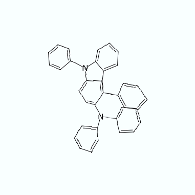 c1ccc(-c2c(N(c3ccccc3)c3ccccc3)ccc3c2c2ccccc2n3-c2ccccc2)cc1